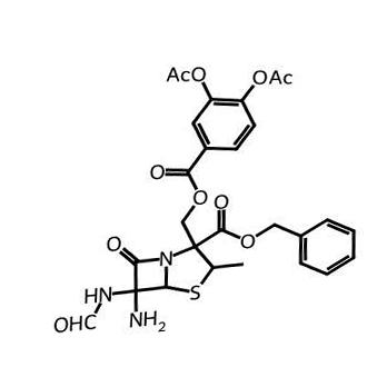 CC(=O)Oc1ccc(C(=O)OCC2(C(=O)OCc3ccccc3)C(C)SC3N2C(=O)C3(N)NC=O)cc1OC(C)=O